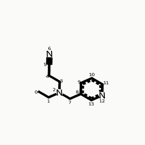 CCN(CCC#N)Cc1cccnc1